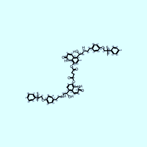 O=C(CCC(=O)Oc1ccc([C@@H](O)CNCCc2ccc(OCC(F)(F)c3ccccc3)cc2)c2ccc(=O)[nH]c12)Oc1ccc([C@@H](O)CNCCc2ccc(OCC(F)(F)c3ccccc3)cc2)c2ccc(=O)[nH]c12